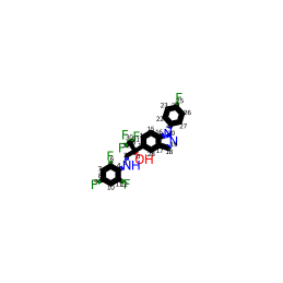 OC(CNc1c(F)cc(F)cc1F)(c1ccc2c(cnn2-c2ccc(F)cc2)c1)C(F)(F)F